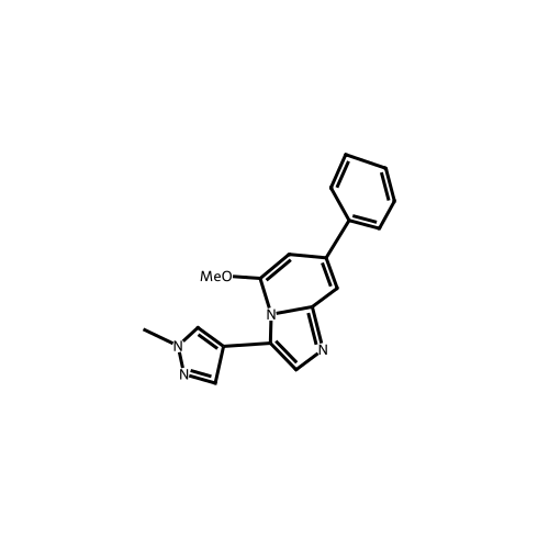 COc1cc(-c2ccccc2)cc2ncc(-c3cnn(C)c3)n12